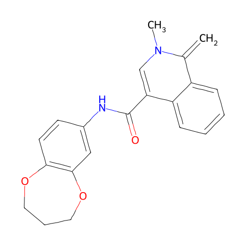 C=C1c2ccccc2C(C(=O)Nc2ccc3c(c2)OCCCO3)=CN1C